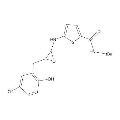 CC(C)(C)NC(=O)c1ccc(NC2OC2Cc2cc(Cl)ccc2O)s1